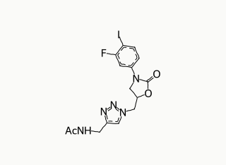 CC(=O)NCc1cn(CC2CN(c3ccc(I)c(F)c3)C(=O)O2)nn1